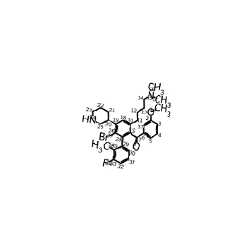 COc1cccc(C(=O)c2c(CCCCN(C)C)[c]c([C@@H]3CCCNC3)c(Br)c2-c2cccc(F)c2C)c1